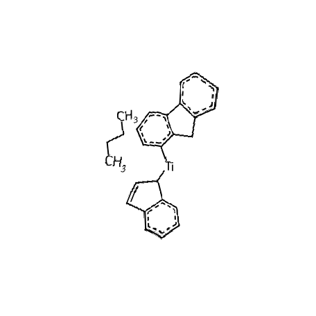 C1=C[CH]([Ti][c]2cccc3c2Cc2ccccc2-3)c2ccccc21.CCCC